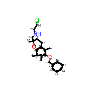 Cc1c(C)c2c(c(C)c1OCc1ccccc1)CCC(C)(CNCCCl)O2